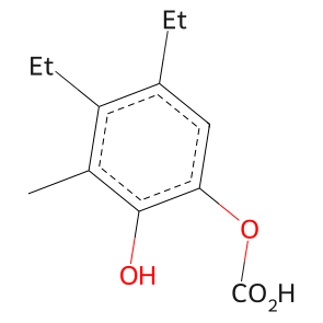 CCc1cc(OC(=O)O)c(O)c(C)c1CC